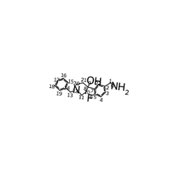 NCc1ccc(F)c(C2(O)CCN(Cc3ccccc3)CC2)c1